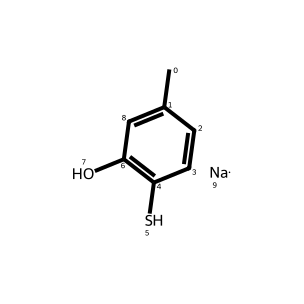 Cc1ccc(S)c(O)c1.[Na]